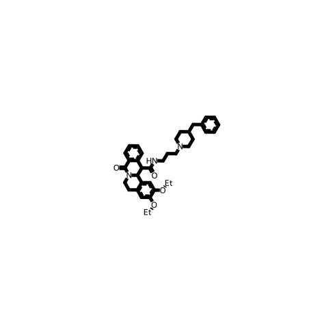 CCOc1cc2c(cc1OCC)C1C(C(=O)NCCCN3CCC(Cc4ccccc4)CC3)c3ccccc3C(=O)N1CC2